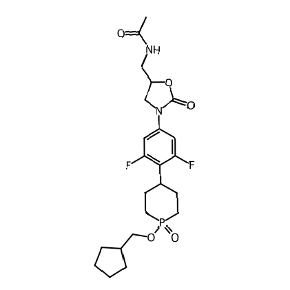 CC(=O)NCC1CN(c2cc(F)c(C3CCP(=O)(OCC4CCCC4)CC3)c(F)c2)C(=O)O1